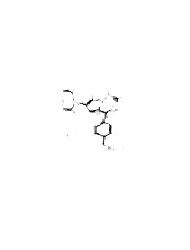 Cc1cc(-c2ncnn3cc(N4CCOCC4)cc23)ccc1CN.Cl